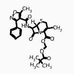 CC1=C(C(=O)OCOC(=O)C(C)(C)C)N2C(=O)C(NC(=O)c3c(-c4ccccc4)noc3C)[C@@H]2SC1